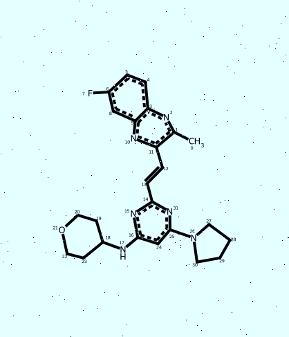 Cc1nc2ccc(F)cc2nc1C=Cc1nc(NC2CCOCC2)cc(N2CCCC2)n1